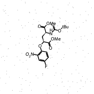 COC(=O)[C@H](C[C@H](Oc1ccc(F)cc1[N+](=O)[O-])C(=O)OC)NC(=O)OC(C)(C)C